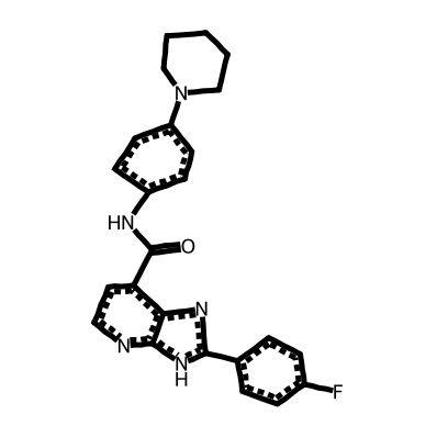 O=C(Nc1ccc(N2CCCCC2)cc1)c1ccnc2[nH]c(-c3ccc(F)cc3)nc12